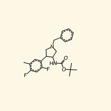 Cc1cc(C2CN(Cc3ccccc3)CC2NC(=O)OC(C)(C)C)c(F)cc1F